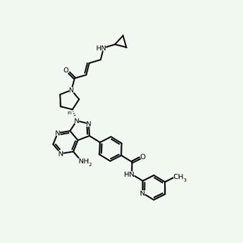 Cc1ccnc(NC(=O)c2ccc(-c3nn([C@@H]4CCN(C(=O)C=CCNC5CC5)C4)c4ncnc(N)c34)cc2)c1